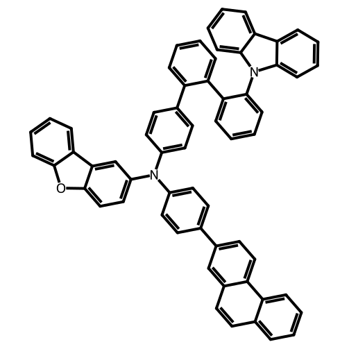 c1ccc(-c2ccccc2-n2c3ccccc3c3ccccc32)c(-c2ccc(N(c3ccc(-c4ccc5c(ccc6ccccc65)c4)cc3)c3ccc4oc5ccccc5c4c3)cc2)c1